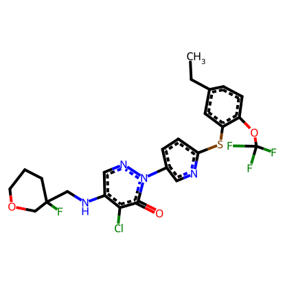 CCc1ccc(OC(F)(F)F)c(Sc2ccc(-n3ncc(NCC4(F)CCCOC4)c(Cl)c3=O)cn2)c1